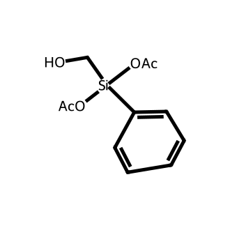 CC(=O)O[Si](CO)(OC(C)=O)c1ccccc1